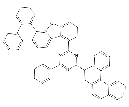 c1ccc(-c2nc(-c3cc4ccc5ccccc5c4c4ccccc34)nc(-c3cccc4oc5c(-c6ccccc6-c6ccccc6)cccc5c34)n2)cc1